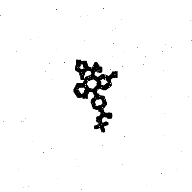 Cn1cncc1C1(C2=Cc3cccnc3C(N3CCN(C(=O)OC(C)(C)C)CC3)c3ccc(Cl)cc32)CO1